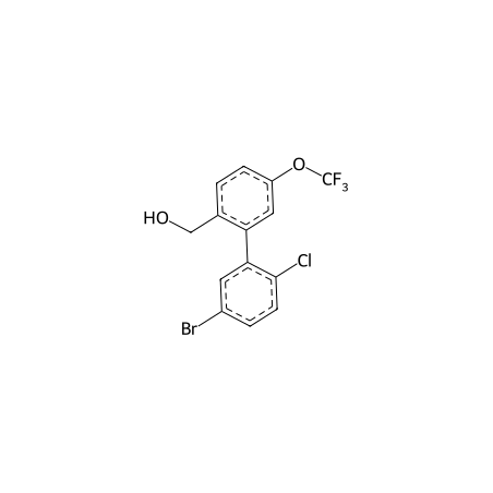 OCc1ccc(OC(F)(F)F)cc1-c1cc(Br)ccc1Cl